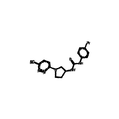 CC(C)c1ccc(NC(=O)N[C@H]2CCN(c3ccc(C#N)nn3)C2)cc1